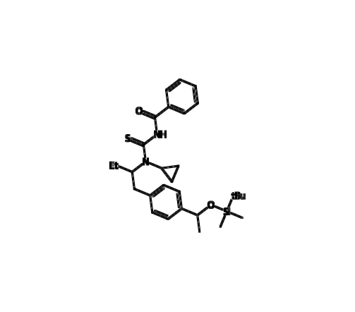 CCC(Cc1ccc(C(C)O[Si](C)(C)C(C)(C)C)cc1)N(C(=S)NC(=O)c1ccccc1)C1CC1